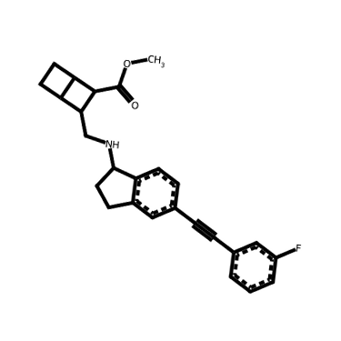 COC(=O)C1C2CCC2C1CNC1CCc2cc(C#Cc3cccc(F)c3)ccc21